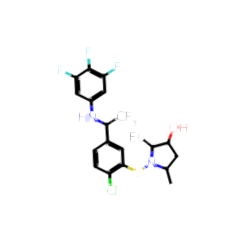 CCC1C(O)CC(C)N1Sc1cc(C(Nc2cc(F)c(F)c(F)c2)C(F)(F)F)ccc1Cl